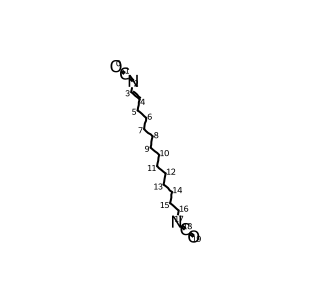 O=C=NC=CCCCCCCCCCCCCN=C=O